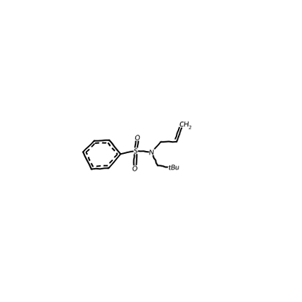 C=CCN(CC(C)(C)C)S(=O)(=O)c1ccccc1